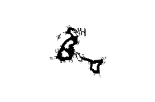 C1=CCCC(COc2cc3c(c4ccccc24)CCN3)=C1